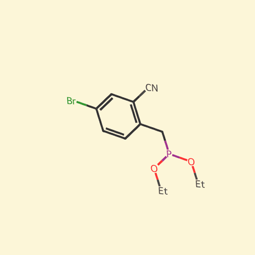 CCOP(Cc1ccc(Br)cc1C#N)OCC